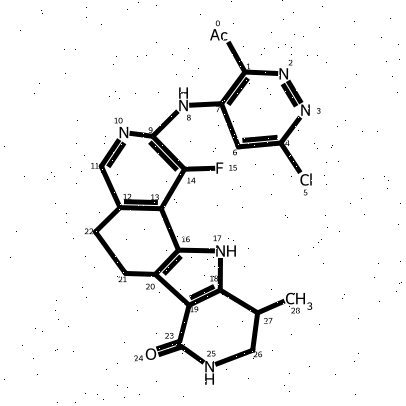 CC(=O)c1nnc(Cl)cc1Nc1ncc2c(c1F)-c1[nH]c3c(c1CC2)C(=O)NCC3C